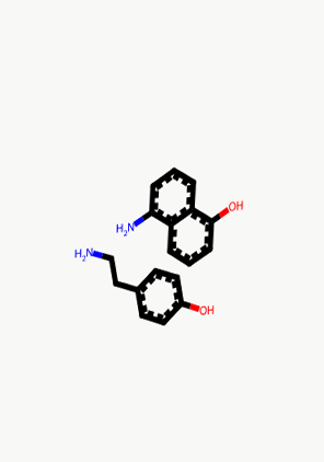 NCCc1ccc(O)cc1.Nc1cccc2c(O)cccc12